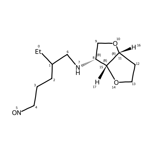 CCC(CCCN=O)CN[C@@H]1CO[C@@H]2CCO[C@H]12